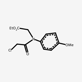 CCOC(=O)CN(C(=O)CCl)c1ccc(OC)cc1